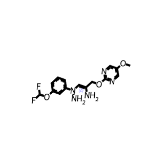 COc1cnc(OC/C(N)=C/N(N)c2cccc(OC(F)F)c2)nc1